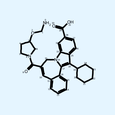 NCOC1CCN(C(=O)C2=Cc3ccccc3-c3c(C4CCCCC4)c4ccc(C(=O)O)cc4n3C2)C1